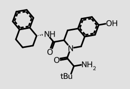 CC(C)(C)C(N)C(=O)N1Cc2cc(O)ccc2CC1C(=O)N[C@@H]1CCCc2ccccc21